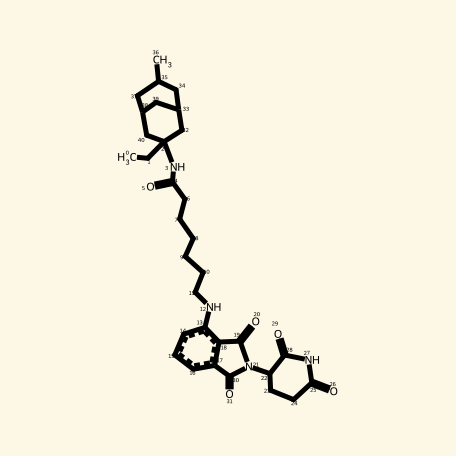 CCC1(NC(=O)CCCCCCNc2cccc3c2C(=O)N(C2CCC(=O)NC2=O)C3=O)CC2CC(C)CC(C2)C1